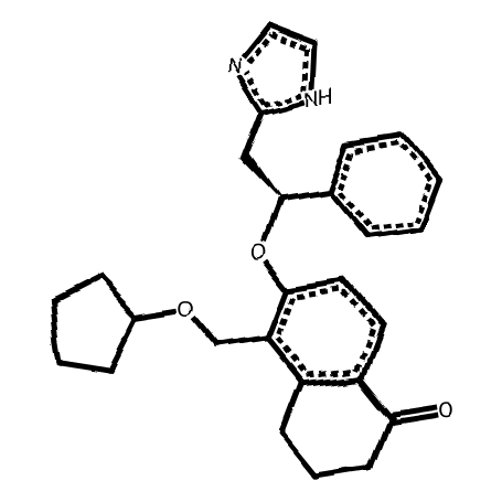 O=C1CCCc2c1ccc(O[C@@H](Cc1ncc[nH]1)c1ccccc1)c2COC1CCCC1